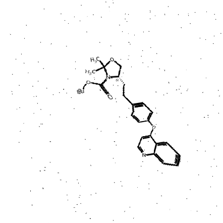 CC(C)(C)OC(=O)N1[C@@H](CCc2ccc(Oc3ccnc4ccccc34)cc2)COC1(C)C